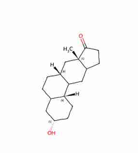 C[C@]12C[C@H]3CCC4C[C@@H](O)CC[C@H]4C3CC1CCC2=O